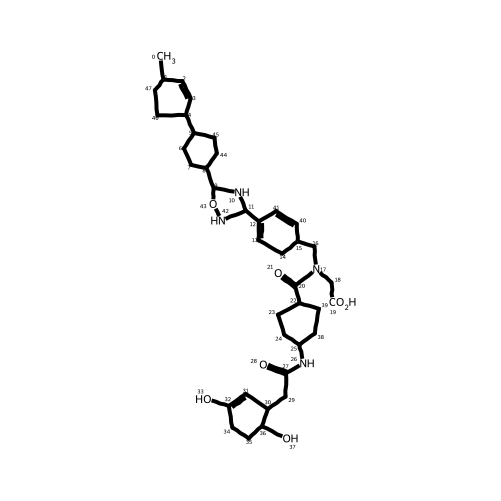 CC1C=CC(C2CCC(C3NC(C4=CCC(CN(CC(=O)O)C(=O)C5CCC(NC(=O)CC6C=C(O)CCC6O)CC5)C=C4)NO3)CC2)CC1